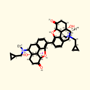 CCN(CC1CC1)C1Cc2ccc(-c3ccc4c5c3OC3C(=O)CC[C@@]6(O)[C@@H](C4)N(CC4CC4)CC[C@]536)c3c2[C@@]2(I)C(O3)C(=O)CC[C@@]12O